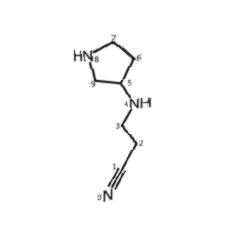 N#CCCNC1CCNC1